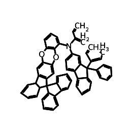 C=CC(=C)N(c1ccc2c(c1)C(/C(C=C)=C/C)(c1ccccc1)c1ccccc1-2)c1cccc2c1Oc1cc3c(cc1O2)C1C=CC=CC1C31c2ccccc2-c2ccccc21